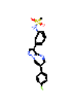 CS(=O)(=O)Nc1cccc(-c2cnn3cc(-c4ccc(F)cc4)cnc23)c1